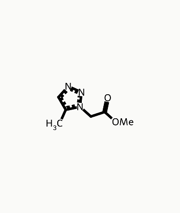 COC(=O)Cn1nncc1C